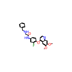 COc1cc2nccc(Oc3ccc(NC(=O)CNCc4ccccc4)cc3F)c2cc1OC